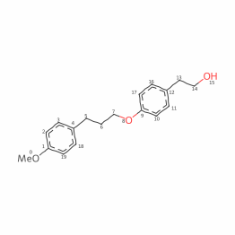 COc1ccc(CCCOc2ccc(CCO)cc2)cc1